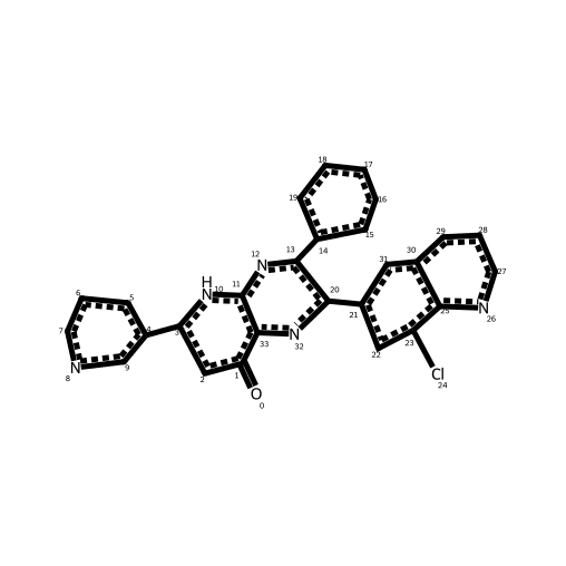 O=c1cc(-c2cccnc2)[nH]c2nc(-c3ccccc3)c(-c3cc(Cl)c4ncccc4c3)nc12